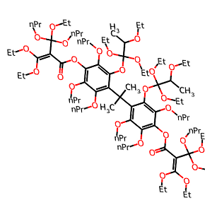 CCCOc1c(OC(=O)C(=C(OCC)OCC)C(OCC)(OCCC)OCCC)c(OCCC)c(OC(OCC)(OCC)C(C)OCC)c(C(C)(C)c2c(OCCC)c(OCCC)c(OC(=O)C(=C(OCC)OCC)C(OCC)(OCCC)OCCC)c(OCCC)c2OC(OCC)(OCC)C(C)OCC)c1OCCC